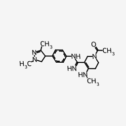 CNC1=C(C(=N)Nc2ccc(C3CN(C)N=C3C)cc2)CN(C(C)=O)CC1